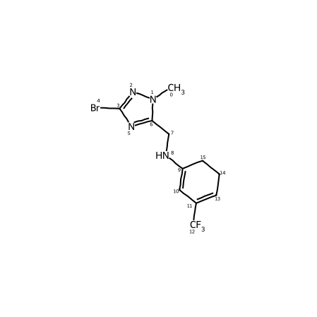 Cn1nc(Br)nc1CNC1=CC(C(F)(F)F)=CCC1